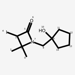 CC1(C)C(I)C(=O)N1CC1(O)CCCC1